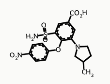 CC1CCN(c2cc(C(=O)O)cc(S(N)(=O)=O)c2Oc2ccc([N+](=O)[O-])cc2)C1